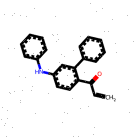 C=CC(=O)c1ccc(Nc2ccccc2)cc1-c1ccccc1